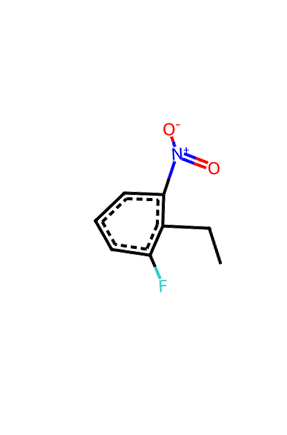 CCc1c(F)cccc1[N+](=O)[O-]